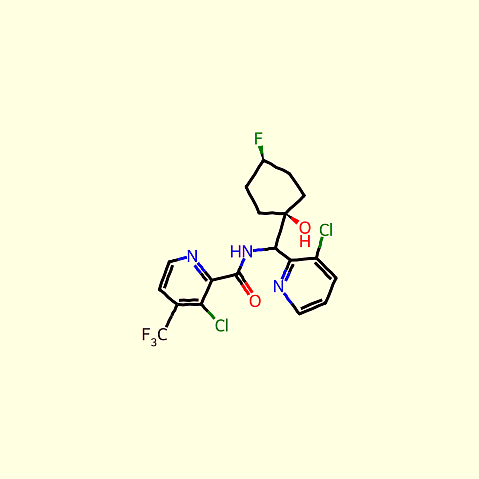 O=C(NC(c1ncccc1Cl)[C@]1(O)CC[C@@H](F)CC1)c1nccc(C(F)(F)F)c1Cl